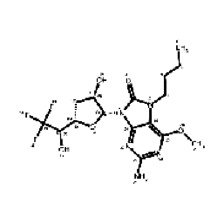 CCCCn1c(=O)n([C@@H]2O[C@H]([C@@H](O)C(F)(F)F)C[C@H]2O)c2nc(N)nc(OC)c21